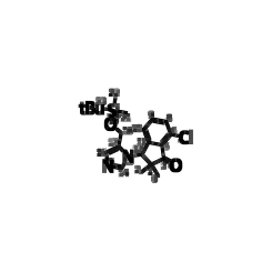 CC1(C)C(=O)c2c(Cl)cccc2C1n1cncc1CO[Si](C)(C)C(C)(C)C